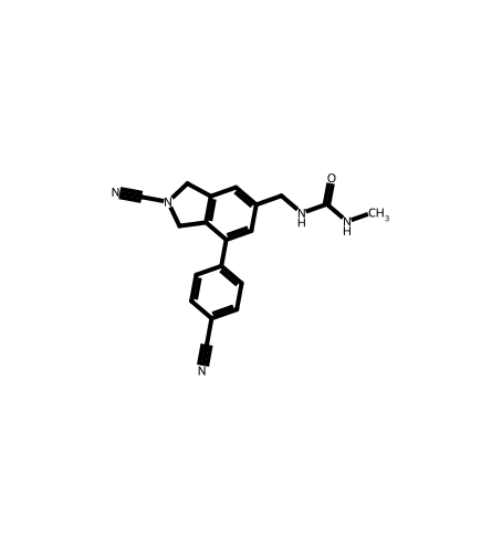 CNC(=O)NCc1cc2c(c(-c3ccc(C#N)cc3)c1)CN(C#N)C2